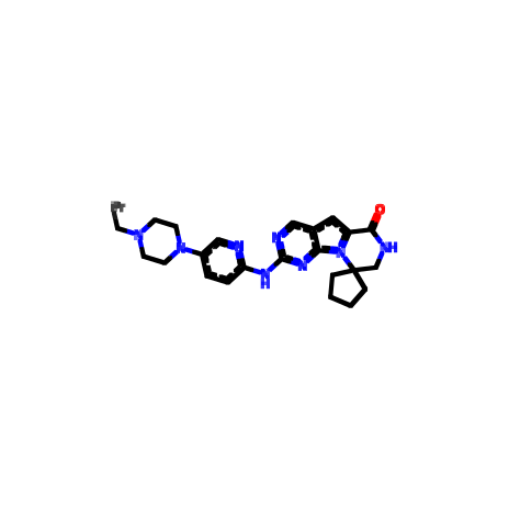 CC(C)CN1CCN(c2ccc(Nc3ncc4cc5n(c4n3)C3(CCCC3)CNC5=O)nc2)CC1